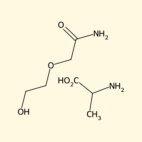 CC(N)C(=O)O.NC(=O)COCCO